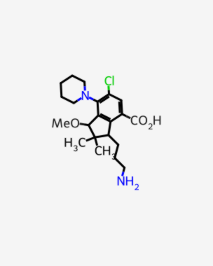 COC1c2c(c(C(=O)O)cc(Cl)c2N2CCCCC2)C(CCCN)C1(C)C